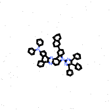 c1ccc(-c2nc(-n3c4ccc(-c5ccc6ccccc6c5)cc4c4c5nc6c7ccc(N(c8ccccc8)c8ccccc8)cc7c7ccccc7c6nc5ccc43)nc(-c3ccccc3)c2-c2ccccc2)cc1